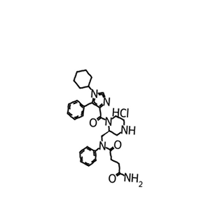 Cl.NC(=O)CCC(=O)N(C[C@@H]1CNCCN1C(=O)c1ncn(C2CCCCC2)c1-c1ccccc1)c1ccccc1